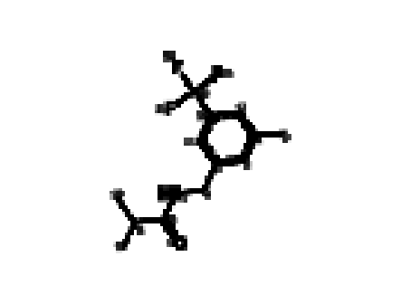 Cc1cc(CNC(=O)C(C)C)cc(C(F)(F)F)c1